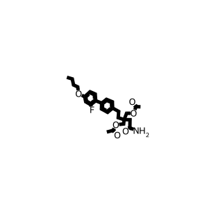 CCCCOc1ccc(-c2ccc(CCC(COC(C)=O)(COC(C)=O)CC(N)=O)cc2)c(F)c1